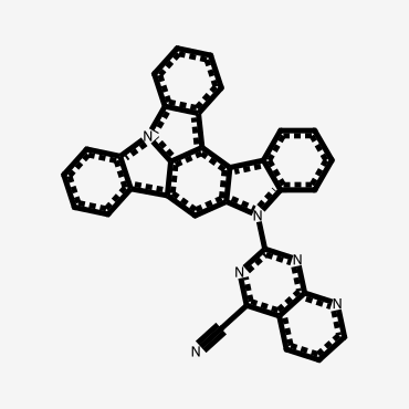 N#Cc1nc(-n2c3ccccc3c3c4c5ccccc5n5c6ccccc6c(cc32)c45)nc2ncccc12